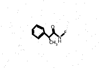 C[C@H](C(=O)NF)c1ccccc1